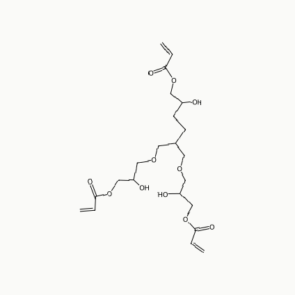 C=CC(=O)OCC(O)CCC(COCC(O)COC(=O)C=C)COCC(O)COC(=O)C=C